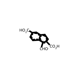 O=[C]c1c(C(=O)O)ccc2cc(C(=O)O)ccc12